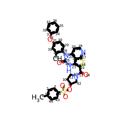 Cc1ccc(S(=O)(=O)OC2CCN(C(=O)c3sc4nccc5c4c3NC(=O)N5c3ccc(Oc4ccccc4)cc3C)C2)cc1